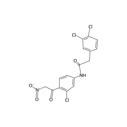 O=C(Cc1ccc(Cl)c(Cl)c1)Nc1ccc(C(=O)C[N+](=O)[O-])c(Cl)c1